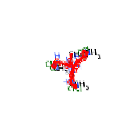 CCCCCCCCOc1ccc(CNC(CCC(=O)NCCOCCOCCOCCNS(=O)(=O)C2=CC=CC([C@@H]3CN(C)Cc4c(Cl)cc(Cl)cc43)C2)(CCC(=O)NCCOCCOCCOCCNS(=O)(=O)c2cccc([C@@H]3CN(C)Cc4c(Cl)cc(Cl)cc43)c2)CCC(=O)NCCOCCOCCOCCNS(=O)(=O)c2cccc([C@@H]3CN(C)Cc4c(Cl)cc(Cl)cc43)c2)cc1